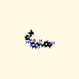 Cc1cnc(NC[C@H]2CCCN2CC2(C)CC2)c(=O)n1CC(=O)NCc1ccc2[nH]ccc2c1